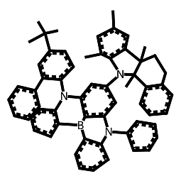 Cc1cc(C)c2c(c1)C1(C)CCc3ccccc3C1(C)N2c1cc2c3c(c1)N(c1ccc(C(C)(C)C)cc1-c1ccccc1)c1ccccc1B3c1ccccc1N2c1ccccc1